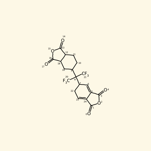 O=C1OC(=O)C2=CC(C(C3CCC4C(=O)OC(=O)C4C3)(C(F)(F)F)C(F)(F)F)CC=C12